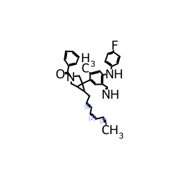 C\C=C/C=C\C=C\CC1C2CN(C(=O)c3ccccc3)CC12c1cc(C=N)c(Nc2ccc(F)cc2)cc1C